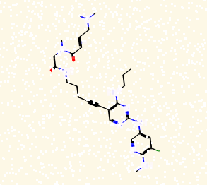 CCCNc1nc(Nc2cnc(NC)c(F)c2)ncc1C#CCCCNC(=O)[C@H](C)N(C)C(=O)/C=C/CN(C)C